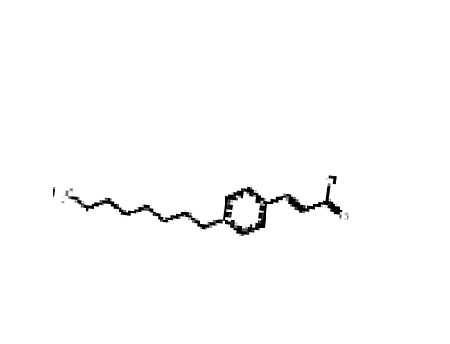 CCCCCCCCc1ccc(C=CC(=O)Cl)cc1